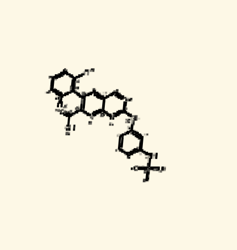 CS(=O)(=O)Nc1cccc(Nc2ncc3cc(-c4c(Cl)cccc4Cl)c(C(=O)O)nc3n2)c1